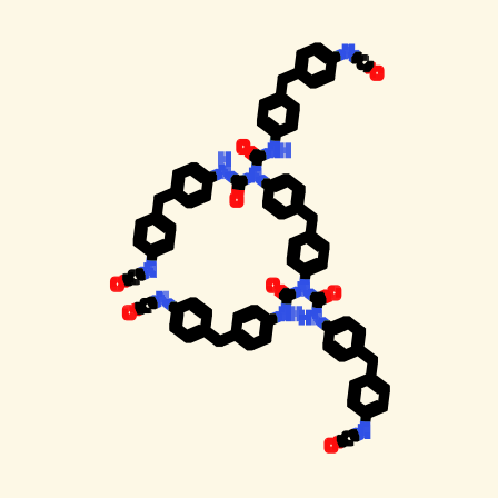 O=C=Nc1ccc(Cc2ccc(NC(=O)N(C(=O)Nc3ccc(Cc4ccc(N=C=O)cc4)cc3)c3ccc(Cc4ccc(N(C(=O)Nc5ccc(Cc6ccc(N=C=O)cc6)cc5)C(=O)Nc5ccc(Cc6ccc(N=C=O)cc6)cc5)cc4)cc3)cc2)cc1